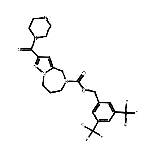 O=C(OCc1cc(C(F)(F)F)cc(C(F)(F)F)c1)N1CCCn2nc(C(=O)N3CCNCC3)cc2C1